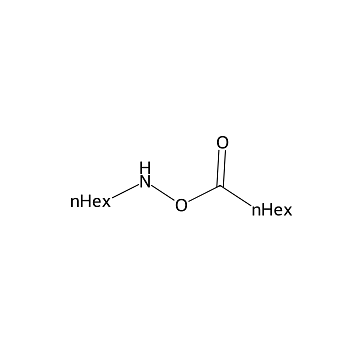 CCCCCCNOC(=O)CCCCCC